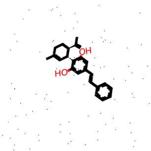 C=C(C)[C@@H]1CCC(C)=C[C@H]1c1c(O)cc(C=Cc2ccccc2)cc1O